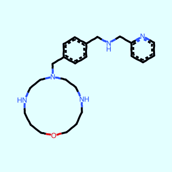 c1ccc(CNCc2ccc(CN3CCNCCCOCCCNCC3)cc2)nc1